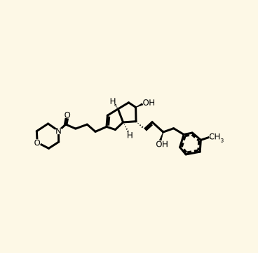 Cc1cccc(C[C@@H](O)/C=C/[C@@H]2[C@H]3CC(CCCC(=O)N4CCOCC4)=C[C@H]3C[C@H]2O)c1